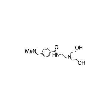 CNCc1ccc(C(=O)NCCN(CCO)CCO)cc1